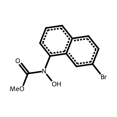 COC(=O)N(O)c1cccc2ccc(Br)cc12